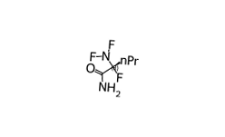 CCC[C@@](F)(C(N)=O)N(F)F